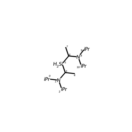 CC(C)N(C(C)C)C(C)[SiH2]C(C)N(C(C)C)C(C)C